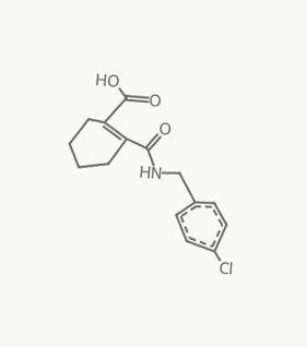 O=C(O)C1=C(C(=O)NCc2ccc(Cl)cc2)CCCC1